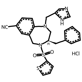 Cl.N#Cc1ccc2c(c1)CN(S(=O)(=O)c1cccs1)[C@H](Cc1ccccc1)CN2Cc1cnc[nH]1